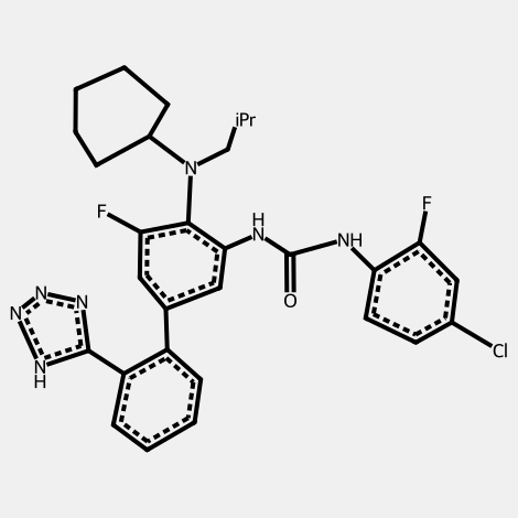 CC(C)CN(c1c(F)cc(-c2ccccc2-c2nnn[nH]2)cc1NC(=O)Nc1ccc(Cl)cc1F)C1CCCCC1